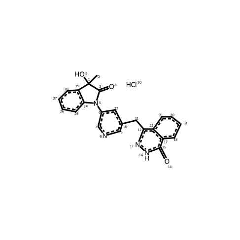 CC1(O)C(=O)N(c2cncc(Cc3n[nH]c(=O)c4ccccc34)c2)c2ccccc21.Cl